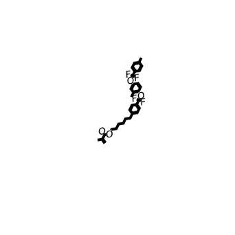 C=C(C)C(=O)OCCCCCCc1ccc(C(F)(F)Oc2ccc(OC(F)(F)c3ccc(C)cc3)cc2C)cc1